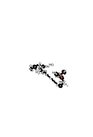 Cc1ncsc1-c1ccc(CNC(=O)[C@@H]2C[C@@H](O)CN2C(=O)[C@@H](NC(=O)COCCCOCCCCCOc2cccc([C@@H](C)NC(=O)c3cccc(NC4(c5nnc(-c6ccncc6)[nH]5)CCNCC4)c3)c2)C(C)(C)C)cc1.Cl